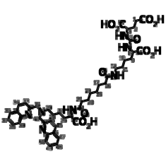 O=C(O)CCC(NC(=O)NC(CCCCNC(=O)CCCCCCC(=O)NC(CCCCN(Cc1ccc2ccccc2n1)Cc1ccc2ccccc2n1)C(=O)O)C(=O)O)C(=O)O